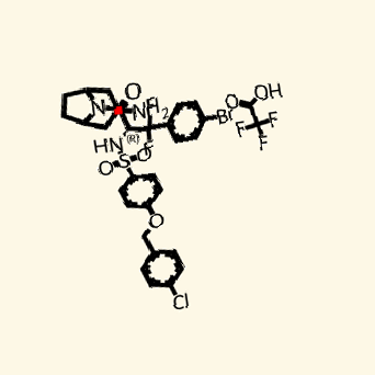 NC1CC2CCC(C1)N2C(=O)[C@@H](NS(=O)(=O)c1ccc(OCc2ccc(Cl)cc2)cc1)C(F)(F)c1ccc(Br)cc1.O=C(O)C(F)(F)F